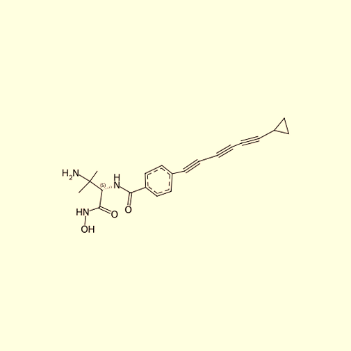 CC(C)(N)[C@H](NC(=O)c1ccc(C#CC#CC#CC2CC2)cc1)C(=O)NO